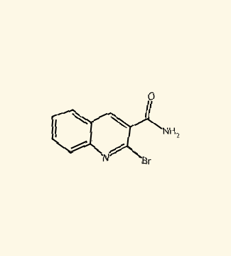 NC(=O)c1cc2ccccc2nc1Br